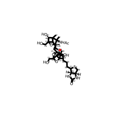 CC(=O)NC1(C)C2(C)C(OC[C@]3(C)OC4(CO)OC(C)(C3(C)O)[C@@]4(C)O)C(CO)(O[C@@]1(C)COC(=O)CCCCC1SC[C@@H]3NC(=O)N[C@H]13)[C@H]2O